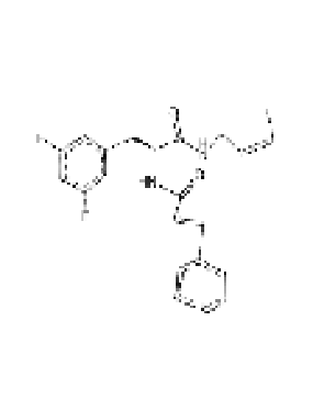 C/C=C\CNC(=O)[C@H](Cc1cc(F)cc(F)c1)NC(=O)/C=C/c1ccccc1